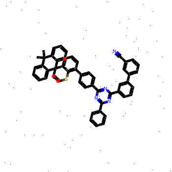 CC1(C)c2ccccc2C2(c3ccccc3Sc3c(-c4ccc(-c5nc(-c6ccccc6)nc(-c6cccc(-c7cccc(C#N)c7)c6)n5)cc4)cccc32)c2ccccc21